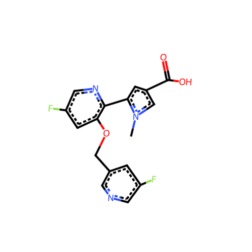 Cn1cc(C(=O)O)cc1-c1ncc(F)cc1OCc1cncc(F)c1